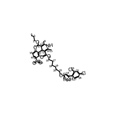 CCCOC(=O)C1=C(C)NC(C)=C(C(=O)OCCCCCCOc2cc(-c3ccc(Cl)cc3Cl)[nH]n2)C1c1cccc([N+](=O)[O-])c1